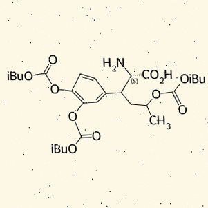 CC(C)COC(=O)Oc1ccc(C(CC(C)OC(=O)OCC(C)C)[C@H](N)C(=O)O)cc1OC(=O)OCC(C)C